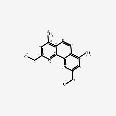 Cc1cc(CCl)nc2c1ccc1c(C)cc(CCl)nc12